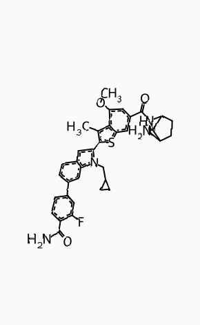 COc1cc(C(=O)N2CC3CCC2[C@@H]3N)cc2sc(-c3cc4ccc(-c5ccc(C(N)=O)c(F)c5)cc4n3CC3CC3)c(C)c12